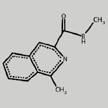 CBC(=O)c1cc2ccccc2c(C)n1